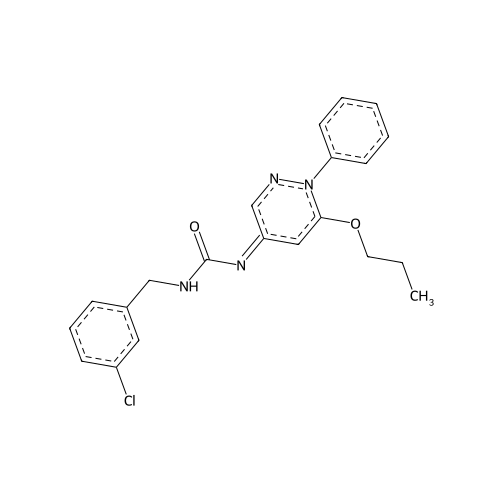 CCCOc1cc(=NC(=O)NCc2cccc(Cl)c2)cnn1-c1ccccc1